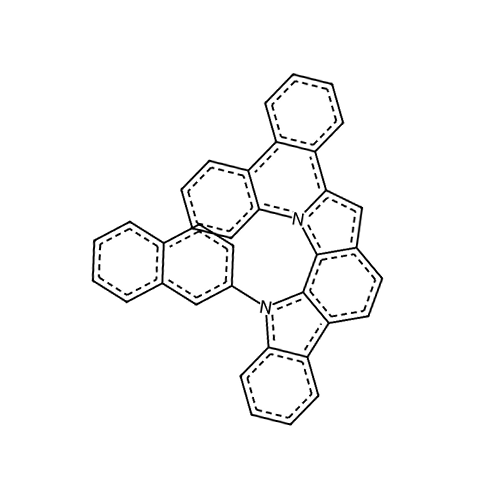 c1ccc2cc(-n3c4ccccc4c4ccc5cc6c7ccccc7c7ccccc7n6c5c43)ccc2c1